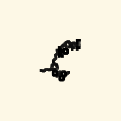 CCCCc1cc(CCCC2CN(Cc3ccc(CC(F)(F)F)cc3)C(=O)N2C)ccc1OC(C)(C)C(=O)OCC